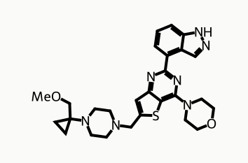 COCC1(N2CCN(Cc3cc4nc(-c5cccc6[nH]ncc56)nc(N5CCOCC5)c4s3)CC2)CC1